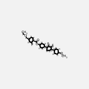 CCOCc1ccc(C(=O)Oc2ccc(-c3ccc(-c4ccc(OC)cc4)c(F)c3F)cc2)c(F)c1